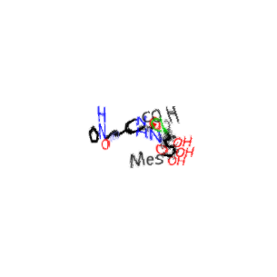 CS[C@H]1O[C@H]([C@H](NC(=O)[C@@H]2CC=C(/C=C/C(=O)NC3CCCC3)CCN2C(=O)O)[C@H](C)Cl)[C@H](O)[C@H](O)[C@H]1O